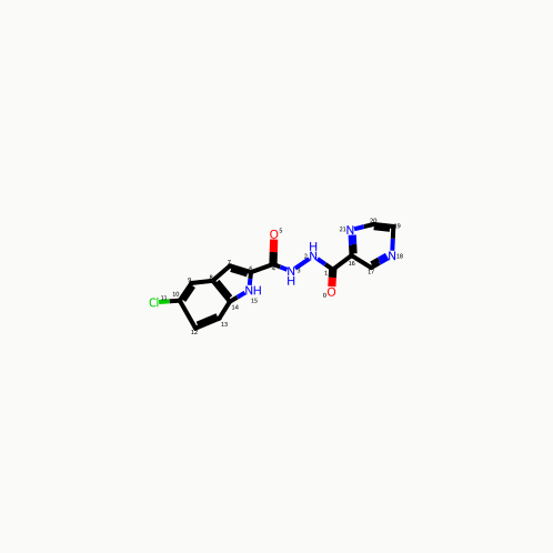 O=C(NNC(=O)c1cc2cc(Cl)ccc2[nH]1)c1cnccn1